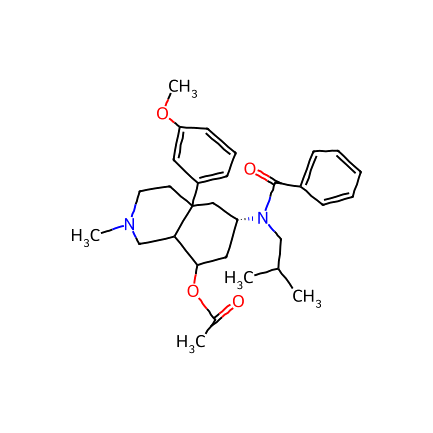 COc1cccc(C23CCN(C)CC2C(OC(C)=O)C[C@@H](N(CC(C)C)C(=O)c2ccccc2)C3)c1